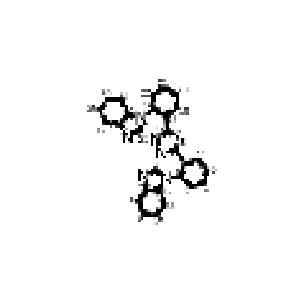 c1ccc(-n2cnc3ccccc32)c(-c2nnc(-c3ccccc3-n3cnc4ccccc43)s2)c1